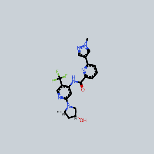 C[C@H]1C[C@@H](O)CN1c1cc(NC(=O)c2cccc(-c3cnn(C)c3)n2)c(C(F)(F)F)cn1